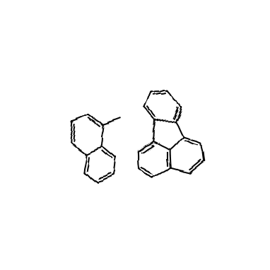 Cc1cccc2ccccc12.c1ccc2c(c1)-c1cccc3cccc-2c13